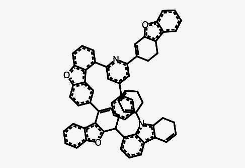 C1=CCCC(n2c3c(c4cccc(C5CC=C(c6ccc7oc8cccc(-c9cc(-c%10ccccc%10)cc(C%10=Cc%11oc%12ccccc%12c%11CC%10)n9)c8c7c6)c6c5oc5ccccc65)c42)C=CCC3)=C1